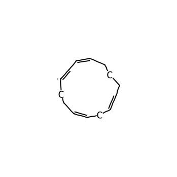 [C]1=CC=CCCCC=CCC=CCC1